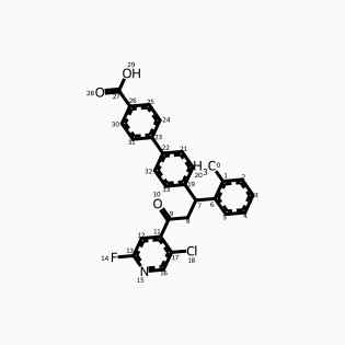 Cc1ccccc1C(CC(=O)c1cc(F)ncc1Cl)c1ccc(-c2ccc(C(=O)O)cc2)cc1